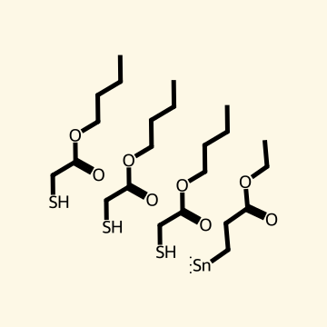 CCCCOC(=O)CS.CCCCOC(=O)CS.CCCCOC(=O)CS.CCOC(=O)C[CH2][Sn]